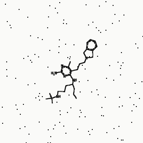 CCCC(CCCNC(C)(C)C)Nc1nc(N)nc(C)c1CCCN1Cc2ccccc2C1